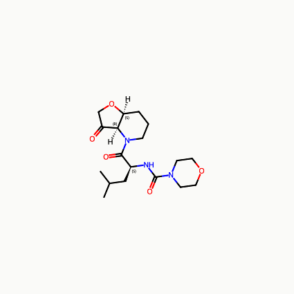 CC(C)C[C@H](NC(=O)N1CCOCC1)C(=O)N1CCC[C@@H]2OCC(=O)[C@@H]21